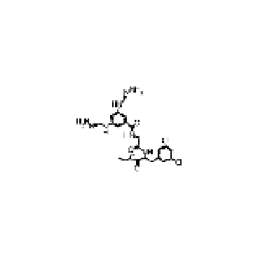 CCOC(=O)C(Cc1cc(Cl)cc(Cl)c1)NC(=O)CNC(=O)c1cc(NC=NN)cc(NC=NN)c1